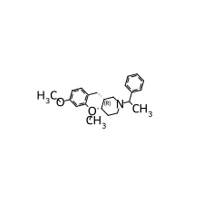 COc1ccc(C[C@H]2[CH]CCN(C(C)c3ccccc3)C2)c(OC)c1